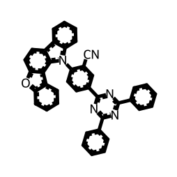 N#Cc1cc(-c2nc(-c3ccccc3)nc(-c3ccccc3)n2)ccc1-n1c2ccccc2c2ccc3oc4ccccc4c3c21